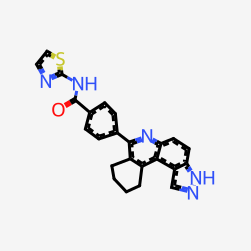 O=C(Nc1nccs1)c1ccc(-c2nc3ccc4[nH]ncc4c3c3c2CCCC3)cc1